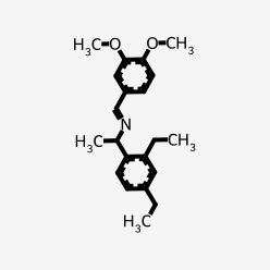 CCc1ccc(C(C)N=Cc2ccc(OC)c(OC)c2)c(CC)c1